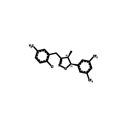 C[C@@H]1C(Cc2cc(C(F)(F)F)ccc2Cl)=NO[C@@H]1c1cc(C(F)(F)F)cc(C(F)(F)F)c1